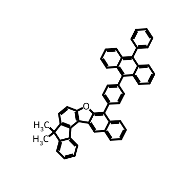 CC1(C)c2ccccc2-c2c1ccc1oc3c(-c4ccc(-c5c6ccccc6c(-c6ccccc6)c6ccccc56)cc4)c4ccccc4cc3c21